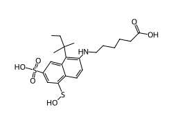 CCC(C)(C)c1c(NCCCCCC(=O)O)ccc2c(SO)cc(S(=O)(=O)O)cc12